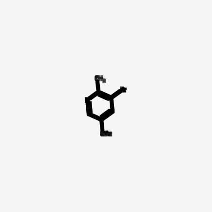 CC(=O)Oc1cnc(C)c(Br)c1